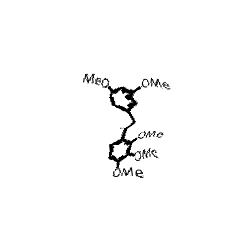 COc1cc(C[CH]c2ccc(OC)c(OC)c2OC)cc(OC)c1